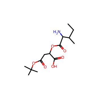 CCC(C)C(N)C(=O)OC(CC(=O)OC(C)(C)C)C(=O)O